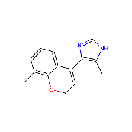 Cc1cccc2c1OCC=C2c1nc[nH]c1C